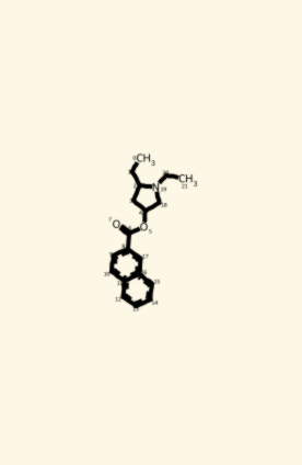 CCC1CC(OC(=O)c2ccc3ccccc3c2)CN1CC